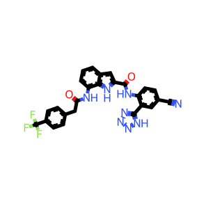 N#Cc1ccc(NC(=O)c2cc3cccc(NC(=O)Cc4ccc(C(F)(F)F)cc4)c3[nH]2)c(-c2nnn[nH]2)c1